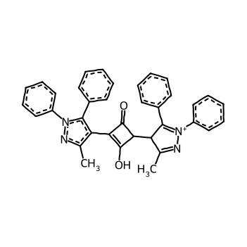 CC1=N[N+](c2ccccc2)=C(c2ccccc2)C1C1C(=O)C(c2c(C)nn(-c3ccccc3)c2-c2ccccc2)=C1O